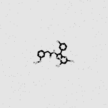 COc1cccc(CC(=O)Nc2nn3c(C)cc(C)nc3c2-c2cccc(Cl)c2)c1